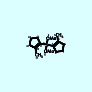 CO[Si](OC)(C1=C(C)CCC1)C1=C(C)CCC1